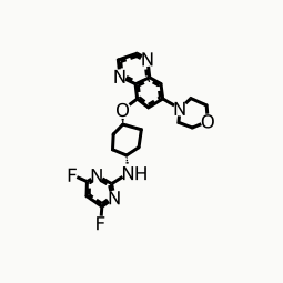 Fc1cc(F)nc(N[C@H]2CC[C@@H](Oc3cc(N4CCOCC4)cc4nccnc34)CC2)n1